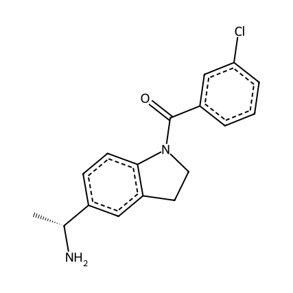 C[C@@H](N)c1ccc2c(c1)CCN2C(=O)c1cccc(Cl)c1